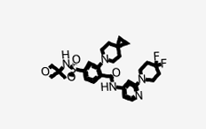 CC1(NS(=O)(=O)c2ccc(C(=O)Nc3ccnc(N4CCC(F)(F)CC4)c3)c(N3CCC4(CC3)CC4)c2)COC1